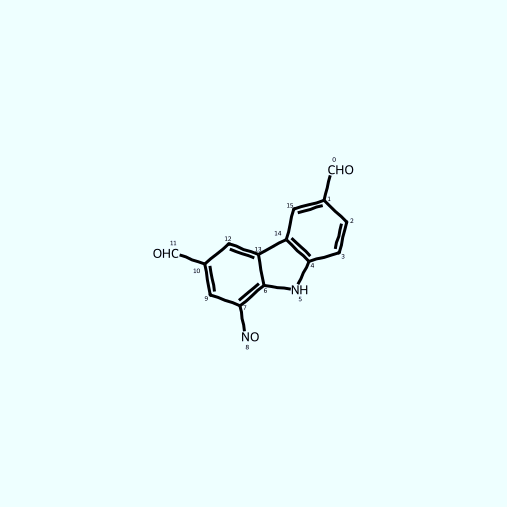 O=Cc1ccc2[nH]c3c(N=O)cc(C=O)cc3c2c1